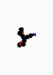 N#Cc1ccc(-c2ccc(N(c3ccc(-c4cccc5c4oc4ccccc45)cc3)c3ccc(-c4cccc5c4oc4ccccc45)cc3)cc2)cc1